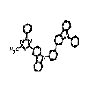 Cc1nc(-c2ccccc2)nc(-c2ccc3c(c2)c2ccccc2n3-c2cccc(-c3ccc4c5ccccc5n(-c5ccccc5)c4c3)c2)n1